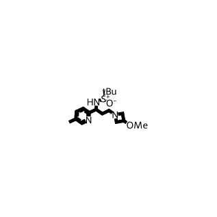 COC1CN(CCC(N[S@+]([O-])C(C)(C)C)c2ccc(C)cn2)C1